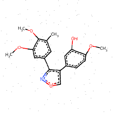 COc1ccc(-c2conc2-c2cc(C)c(OC)c(OC)c2)cc1O